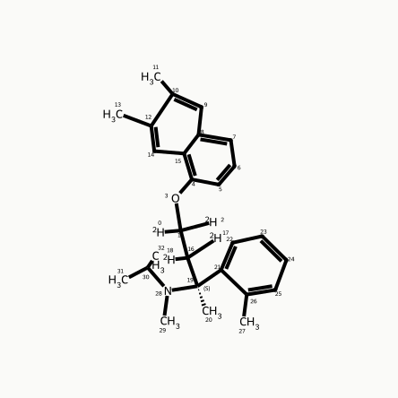 [2H]C([2H])(Oc1cccc2cc(C)c(C)cc12)C([2H])([2H])[C@@](C)(c1ccccc1C)N(C)C(C)C